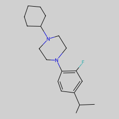 CC(C)c1ccc(N2CCN(C3CCCCC3)CC2)c(F)c1